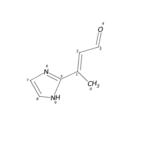 CC(=C[C]=O)c1ncc[nH]1